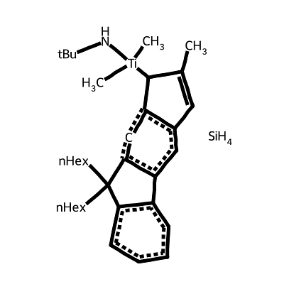 CCCCCCC1(CCCCCC)c2ccccc2-c2cc3c(cc21)[CH]([Ti]([CH3])([CH3])[NH]C(C)(C)C)C(C)=C3.[SiH4]